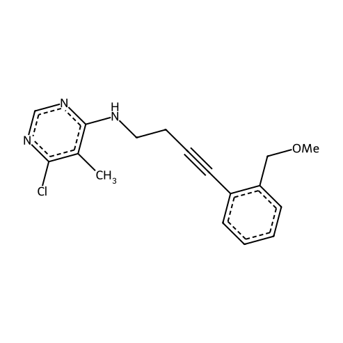 COCc1ccccc1C#CCCNc1ncnc(Cl)c1C